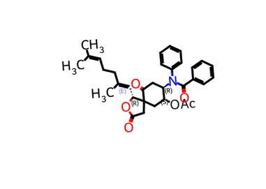 CC(=O)O[C@H]1CC2(CC(=O)O[C@@H]2/C=C(\C)CCC=C(C)C)C(=O)C[C@H]1N(C(=O)c1ccccc1)c1ccccc1